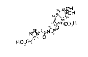 O=C(O)Cc1cn(CC(=O)N2CC(Oc3ccc4c(c3C(=O)O)C[B-](O)(O)CC4)C2)nn1